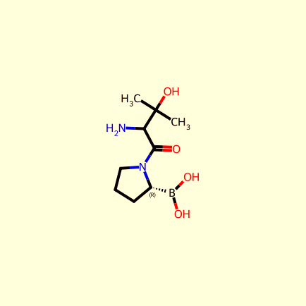 CC(C)(O)C(N)C(=O)N1CCC[C@H]1B(O)O